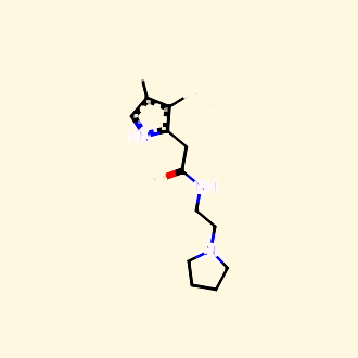 CCOC(=O)c1c(C)c[nH]c1CC(=O)NCCN1CCCC1